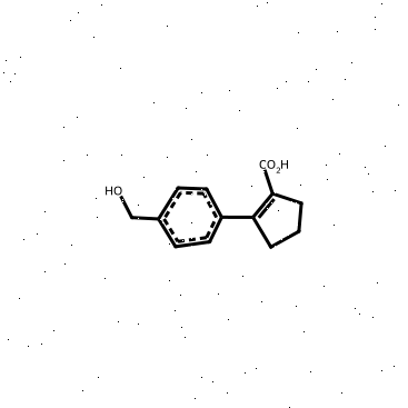 O=C(O)C1=C(c2ccc(CO)cc2)CCC1